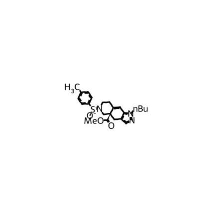 CCCCn1ncc2c1C=C1CCN([S@@+]([O-])c3ccc(C)cc3)C[C@@]1(C(=O)OC)C2